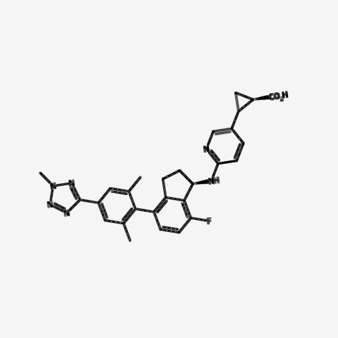 Cc1cc(-c2nnn(C)n2)cc(C)c1-c1ccc(F)c2c1CC[C@H]2Nc1ccc(C2C[C@H]2C(=O)O)cn1